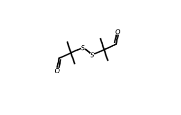 CC(C)(C=O)SSC(C)(C)C=O